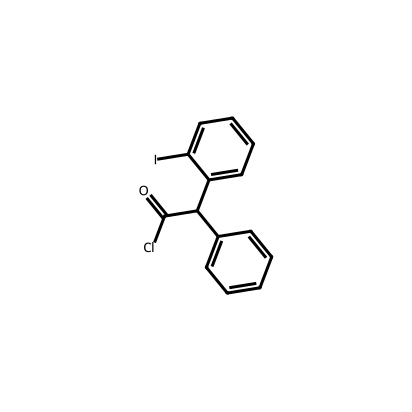 O=C(Cl)C(c1ccccc1)c1ccccc1I